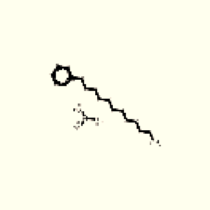 CCCCCCCCCCCCc1ccccc1.CN(C)C